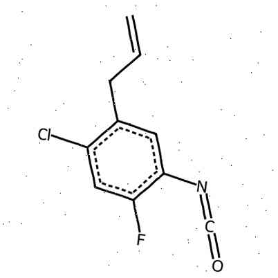 C=CCc1cc(N=C=O)c(F)cc1Cl